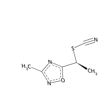 Cc1noc([C@H](C)SC#N)n1